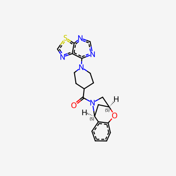 O=C(C1CCN(c2ncnc3scnc23)CC1)N1C[C@@H]2C[C@H]1c1ccccc1O2